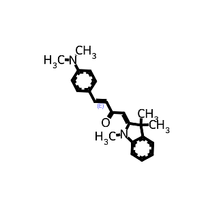 CN(C)c1ccc(/C=C/C(=O)C=C2N(C)c3ccccc3C2(C)C)cc1